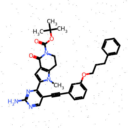 Cn1c(-c2nc(N)ncc2C#Cc2cccc(OCCCc3ccccc3)c2)cc2c1CCN(C(=O)OC(C)(C)C)C2=O